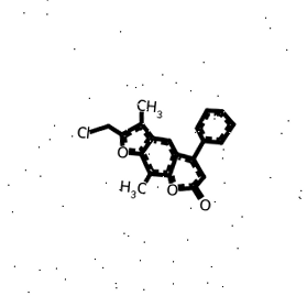 Cc1c(CCl)oc2c(C)c3oc(=O)cc(-c4ccccc4)c3cc12